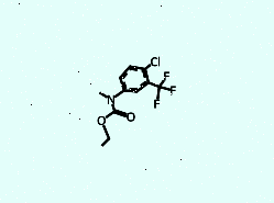 CCOC(=O)N(C)c1ccc(Cl)c(C(F)(F)F)c1